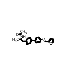 CC(=O)NC(C)Cc1ccc(-c2ccc(OCc3ccco3)cc2)cc1